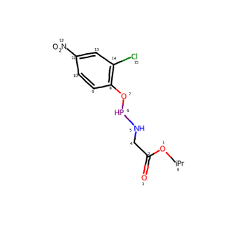 CC(C)OC(=O)CNPOc1ccc([N+](=O)[O-])cc1Cl